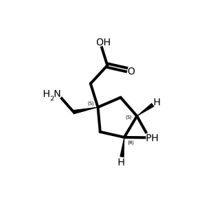 NC[C@@]1(CC(=O)O)C[C@@H]2P[C@@H]2C1